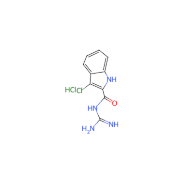 Cl.N=C(N)NC(=O)c1[nH]c2ccccc2c1Cl